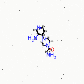 NCC(=O)N1CCN(c2ccncc2N)CC1